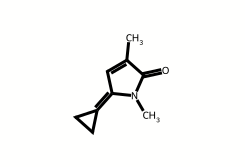 CC1=CC(=C2CC2)N(C)C1=O